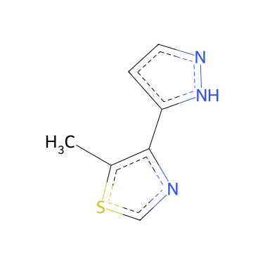 Cc1scnc1-c1ccn[nH]1